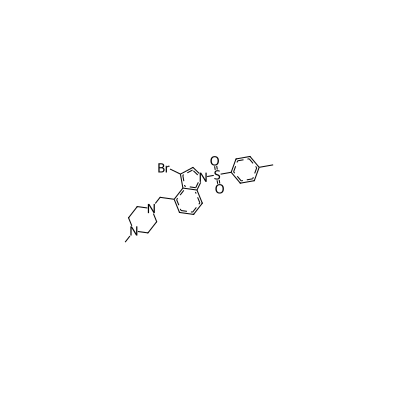 Cc1ccc(S(=O)(=O)n2cc(Br)c3c(CN4CCN(C)CC4)cccc32)cc1